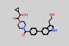 O=C(c1ccc(-c2ccc3[nH]cc(CCO)c3c2)cc1)N1CCN(C(=O)C(O)C2CC2)CC1